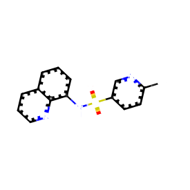 CC(C)(C)c1ccc(S(=O)(=O)Nc2cccc3cccnc23)cn1